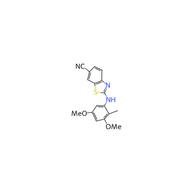 COc1cc(Nc2nc3ccc(C#N)cc3s2)c(C)c(OC)c1